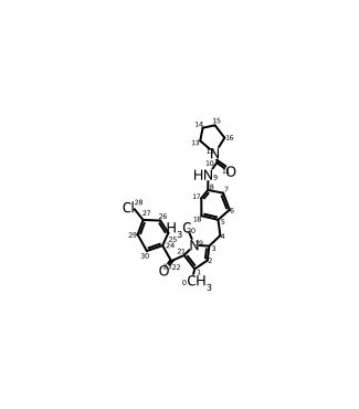 Cc1cc(Cc2ccc(NC(=O)N3CCCC3)cc2)n(C)c1C(=O)c1ccc(Cl)cc1